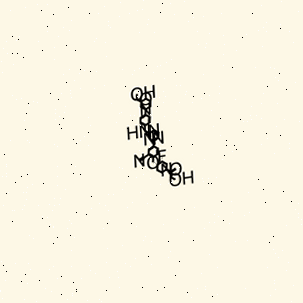 N#Cc1cc(-c2ncnc(Nc3ccc(N4CCOC(CO)C4)cc3)n2)ccc1O[C@H]1CCN(C(=O)CO)C[C@H]1F